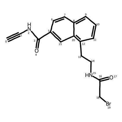 C#CNC(=O)c1ccc2cccc(CCNC(=O)CBr)c2c1